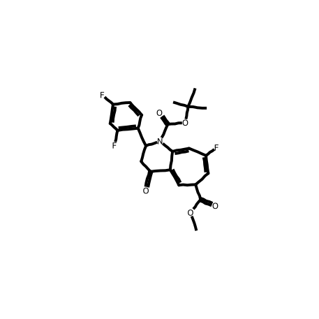 COC(=O)C1C=C(F)C=C2C(=C1)C(=O)CC(c1ccc(F)cc1F)N2C(=O)OC(C)(C)C